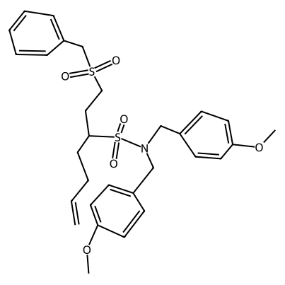 C=CCCC(CCS(=O)(=O)Cc1ccccc1)S(=O)(=O)N(Cc1ccc(OC)cc1)Cc1ccc(OC)cc1